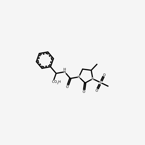 CC1CN(C(=O)NC(C(=O)O)c2ccccc2)C(=O)N1S(C)(=O)=O